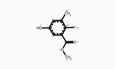 COC(=O)c1cc(O)cc(C)c1F